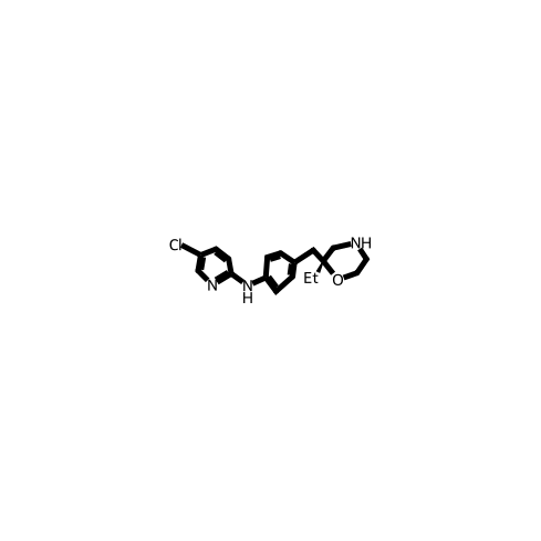 CC[C@@]1(Cc2ccc(Nc3ccc(Cl)cn3)cc2)CNCCO1